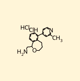 Cc1cc(-c2cccc3c2CCCOC3CN)ccn1.Cl.Cl